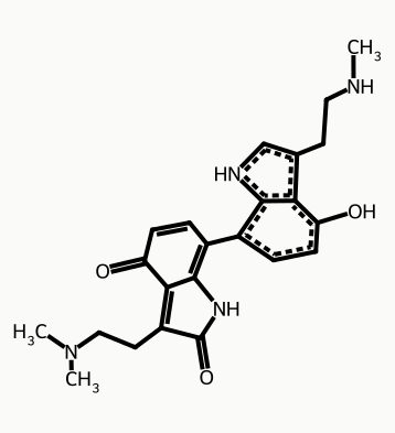 CNCCc1c[nH]c2c(C3=C4NC(=O)C(CCN(C)C)=C4C(=O)C=C3)ccc(O)c12